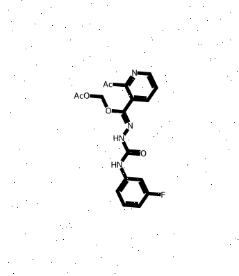 CC(=O)OCOC(=NNC(=O)Nc1cccc(F)c1)c1cccnc1C(C)=O